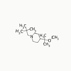 COC(C)(C)C1CCN(CC(C)(C)C)CC1